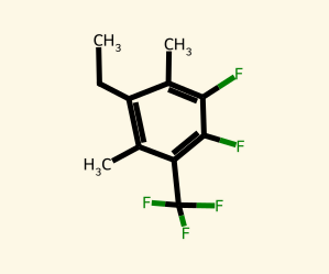 CCc1c(C)c(F)c(F)c(C(F)(F)F)c1C